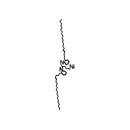 CCCCCCCCCCCCCCC/C=C/CCCc1ccccc1/N=C\C(CCCC)=N\c1ccccc1CCC/C=C/CCCCCCCCCCCCCCC.[Ni]